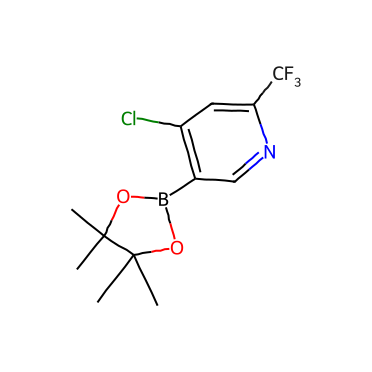 CC1(C)OB(c2cnc(C(F)(F)F)cc2Cl)OC1(C)C